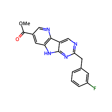 COC(=O)c1cnc2c(c1)[nH]c1nc(Cc3cccc(F)c3)ncc12